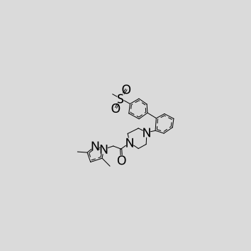 Cc1cc(C)n(CC(=O)N2CCN(c3ccccc3-c3ccc(S(C)(=O)=O)cc3)CC2)n1